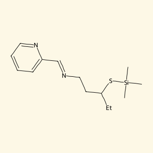 CCC(CCN=Cc1ccccn1)S[Si](C)(C)C